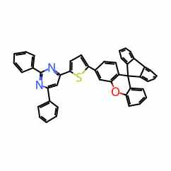 c1ccc(-c2cc(-c3ccc(-c4ccc5c(c4)Oc4ccccc4C54c5ccccc5-c5ccccc54)s3)nc(-c3ccccc3)n2)cc1